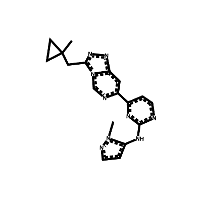 Cn1nccc1Nc1nccc(-c2cc3nnc(CC4(C)CC4)n3cn2)n1